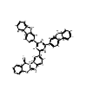 O=c1c2ccccc2sc2nc3ccc(-c4nc(-c5ccc6c(c5)oc5ccccc56)nc(-c5ccc6c(c5)oc5ccccc56)n4)cc3n12